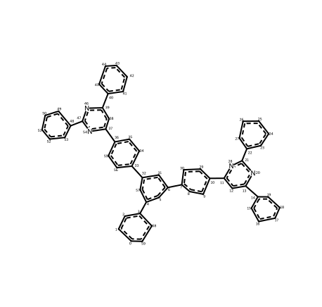 c1ccc(-c2cc(-c3ccc(-c4cc(-c5ccccc5)nc(-c5ccccc5)n4)cc3)cc(-c3ccc(-c4cc(-c5ccccc5)nc(-c5ccccc5)n4)cc3)c2)cc1